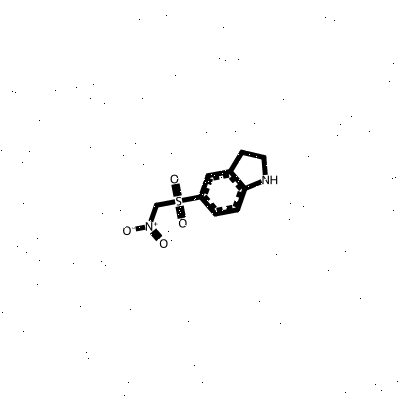 O=[N+]([O-])CS(=O)(=O)c1ccc2c(c1)CCN2